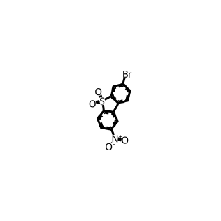 O=[N+]([O-])c1ccc2c(c1)-c1ccc(Br)cc1S2(=O)=O